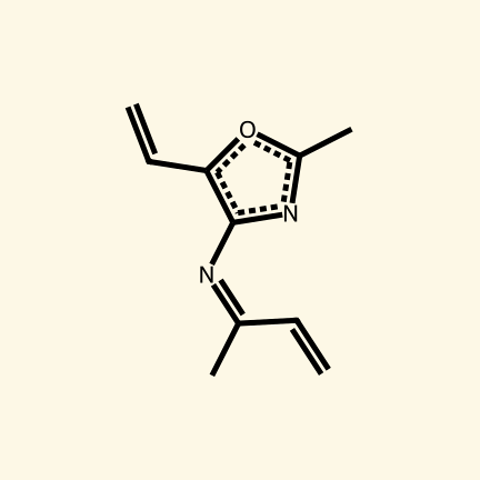 C=C/C(C)=N\c1nc(C)oc1C=C